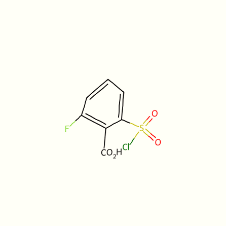 O=C(O)c1c(F)cccc1S(=O)(=O)Cl